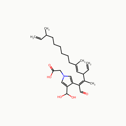 C=CC(C)CCCCCC/C(C)=C/C(C=C)/C(C)=C(/C=O)c1cn(CC(=O)O)cc1C(O)O